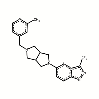 Cc1cc(CN2CC3CN(c4ccc5nnc(C(F)(F)F)n5n4)CC3C2)ccn1